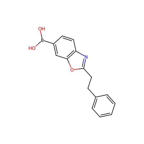 OB(O)c1ccc2nc(CCc3ccccc3)oc2c1